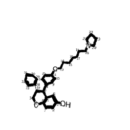 Oc1ccc2c(c1)C(c1ccc(OCCCCCCCN3CCCC3)cc1)[C@@H](c1ccccc1)CO2